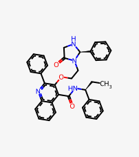 CC[C@H](NC(=O)c1c(OCCN2C(=O)CN[C@H]2c2ccccc2)c(-c2ccccc2)nc2ccccc12)c1ccccc1